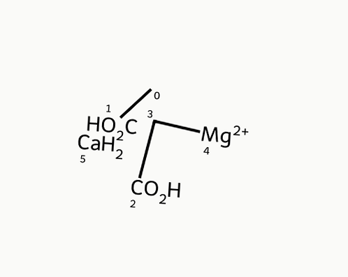 CC(=O)O.O=C(O)[CH2][Mg+2].[CaH2]